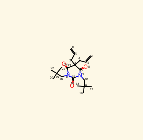 C=CCC1(CC=C)C(=O)N(CC(C)(C)C)C(=O)N(CC(C)(C)C)C1=O